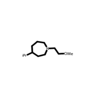 COCCN1CCCC(C(C)C)CC1